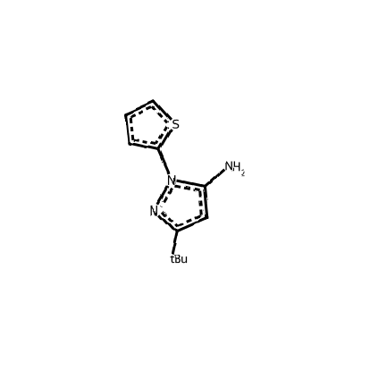 CC(C)(C)c1cc(N)n(-c2cccs2)n1